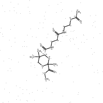 COC(=O)C1(C)OCC(C)(C)[C@H](C(=O)NCCC(=O)NCCSC(C)=O)O1